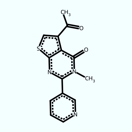 CC(=O)c1csc2nc(-c3cccnc3)n(C)c(=O)c12